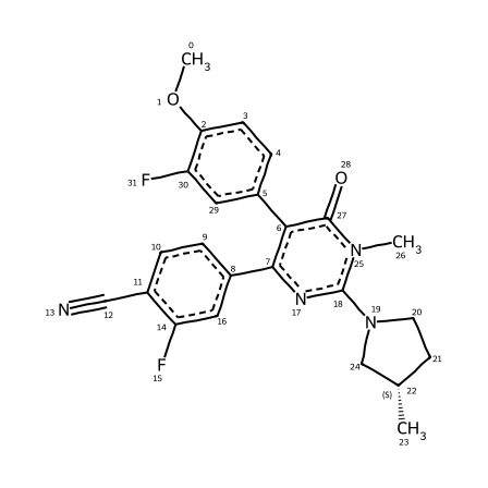 COc1ccc(-c2c(-c3ccc(C#N)c(F)c3)nc(N3CC[C@H](C)C3)n(C)c2=O)cc1F